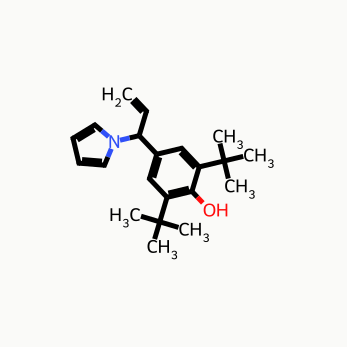 C=CC(c1cc(C(C)(C)C)c(O)c(C(C)(C)C)c1)n1cccc1